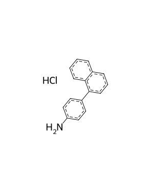 Cl.Nc1ccc(-c2cccc3ccccc23)cc1